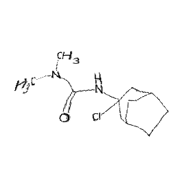 CN(C)C(=O)NC1(Cl)CC2CCC1C2